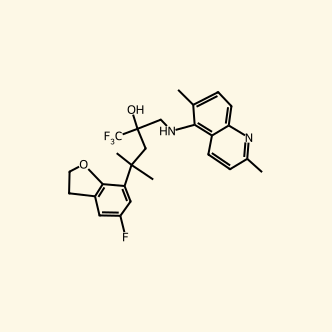 Cc1ccc2c(NCC(O)(CC(C)(C)c3cc(F)cc4c3OCC4)C(F)(F)F)c(C)ccc2n1